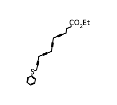 CCOC(=O)CCCC#CCC#CCC#CCC#CCSc1ccccc1